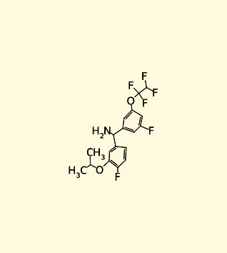 CC(C)Oc1cc(C(N)c2cc(F)cc(OC(F)(F)C(F)F)c2)ccc1F